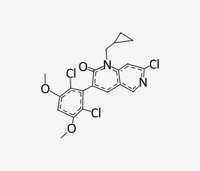 COc1cc(OC)c(Cl)c(-c2cc3cnc(Cl)cc3n(CC3CC3)c2=O)c1Cl